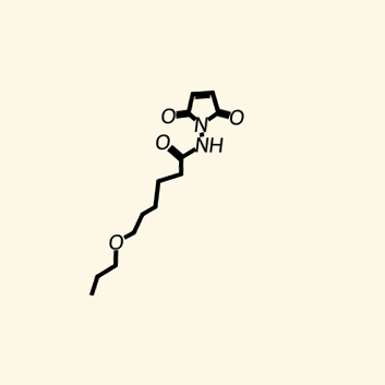 CCCOCCCCCC(=O)NN1C(=O)C=CC1=O